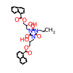 C=CCn1c(=O)n(CC(O)COC(=O)c2cccc3ccccc23)c(=O)n(CC(O)COC(=O)c2cccc3ccccc23)c1=O